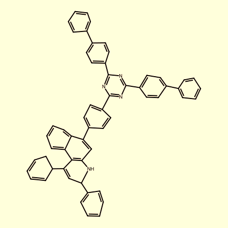 C1=CCC(C2=CC(c3ccccc3)Nc3cc(-c4ccc(-c5nc(-c6ccc(-c7ccccc7)cc6)nc(-c6ccc(-c7ccccc7)cc6)n5)cc4)c4ccccc4c32)C=C1